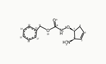 N[C@@H]1C=CC[C@@H]1ONC(=O)OCc1ccccc1